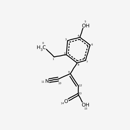 CCc1cc(O)ccc1C(C#N)=CC(=O)O